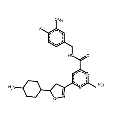 COc1cc(CNC(=O)c2cc(C3=NOC(C4CCC(N)CC4)C3)nc(C)n2)ccc1F.Cl